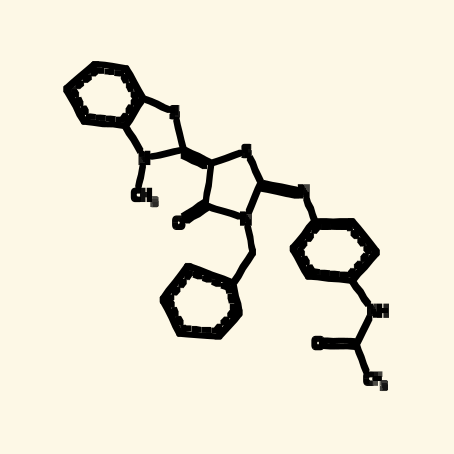 CN1C(=C2SC(=Nc3ccc(NC(=O)C(F)(F)F)cc3)N(Cc3ccccc3)C2=O)Sc2ccccc21